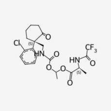 CC(OC(=O)NC[C@@]1(c2ccccc2Cl)CCCCC1=O)OC(=O)[C@H](C)NC(=O)C(F)(F)F